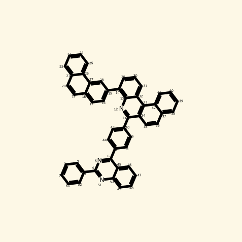 c1ccc(-c2nc(-c3ccc(-c4nc5c(-c6ccc7ccc8ccccc8c7c6)cccc5c5c4ccc4ccccc45)cc3)c3ccccc3n2)cc1